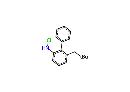 CC(C)(C)Cc1cccc(NCl)c1-c1ccccc1